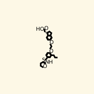 CCCc1cc(C2NC3=C(CCCO3)S2)ccc1OCCCOc1ccc2c(c1)CC[C@H]2CC(=O)O